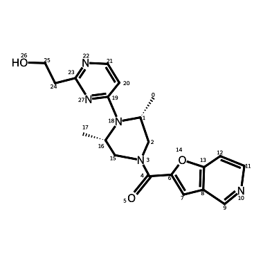 C[C@@H]1CN(C(=O)c2cc3cnccc3o2)C[C@H](C)N1c1ccnc(CCO)n1